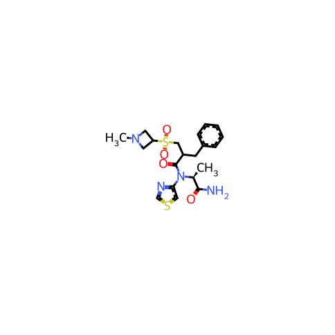 C[C@@H](C(N)=O)N(C(=O)C(Cc1ccccc1)CS(=O)(=O)C1CN(C)C1)c1cscn1